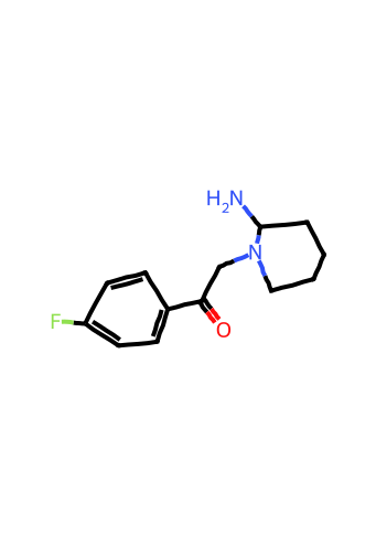 NC1CCCCN1CC(=O)c1ccc(F)cc1